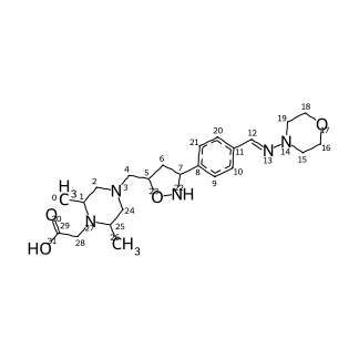 CC1CN(CC2CC(c3ccc(C=NN4CCOCC4)cc3)NO2)CC(C)N1CC(=O)O